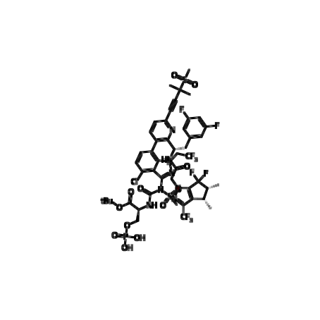 C[C@@H]1c2c(C(F)(F)F)nn(CC(=O)N[C@@H](Cc3cc(F)cc(F)c3)c3nc(C#CC(C)(C)S(C)(=O)=O)ccc3-c3ccc(Cl)c4c(N(C(=O)N[C@@H](COP(=O)(O)O)C(=O)OC(C)(C)C)S(C)(=O)=O)nn(CC(F)(F)F)c34)c2C(F)(F)[C@@H]1C